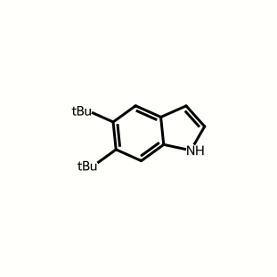 CC(C)(C)c1cc2cc[nH]c2cc1C(C)(C)C